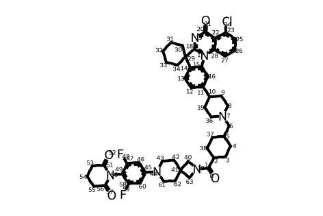 O=C(C1CCC(CN2CCC(c3ccc4c(c3)-n3c(nc(=O)c5c(Cl)cccc53)C43CCCCC3)CC2)CC1)N1CC2(CCN(c3cc(F)c(N4C(=O)CCCC4=O)c(F)c3)CC2)C1